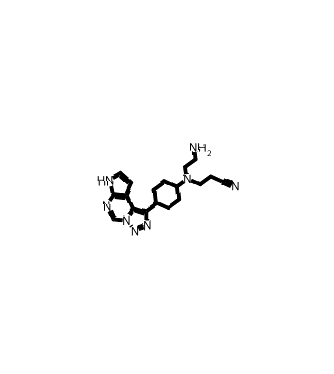 N#CCCN(CCN)C1CCC(c2nnn3cnc4[nH]ccc4c23)CC1